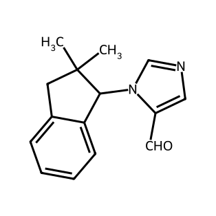 CC1(C)Cc2ccccc2C1n1cncc1C=O